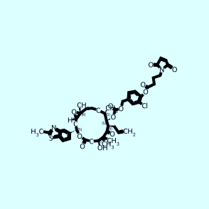 C=CC[C@H]1C(=O)C(C)(C)[C@@H](O)CC(=O)O[C@H](c2ccc3sc(C)nc3c2)C[C@@H]2O[C@]2(C)CCC[C@H](C)[C@@H]1OC(=O)OCc1ccc(OC(=O)CCCN2C(=O)C=CC2=O)c(Cl)c1